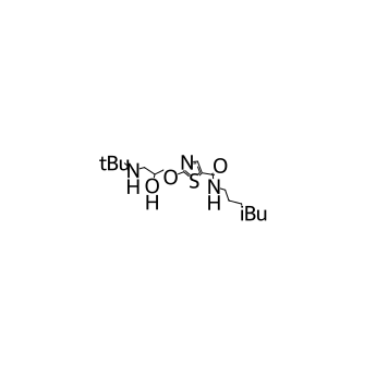 CCC(C)CCCNC(=O)c1cnc(OCC(O)CNC(C)(C)C)s1